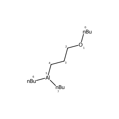 CCCCOCC[CH2][Al]([CH2]CCC)[CH2]CCC